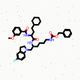 COc1cccc(C(=O)NC(CCC2CCCCC2)C(=O)NC(CCCCNC(=O)OCc2ccccc2)CN2CCc3cc(F)ccc32)c1